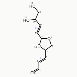 O=C/C=C/C1COC(/C=C/C(O)CO)O1